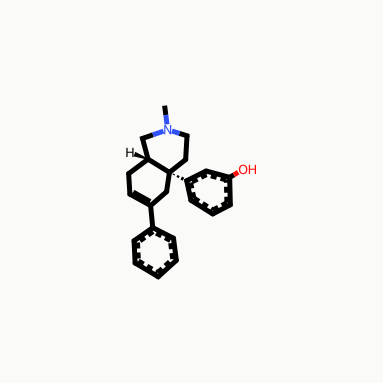 CN1CC[C@@]2(c3cccc(O)c3)CC(c3ccccc3)=CC[C@@H]2C1